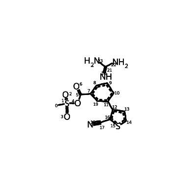 CS(=O)(=O)OC(=O)c1cccc(-c2ccsc2C#N)c1.N=C(N)N